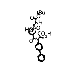 CC(C)CC(CP(=O)(O)CNC(=O)OC(C)(C)C)C(=O)N(c1ccc(-c2ccccc2)cc1)[C@@H](C)C(=O)O